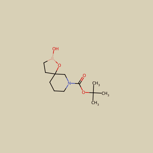 CC(C)(C)OC(=O)N1CCCC2(CCB(O)O2)C1